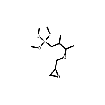 CO[Si](CC(C)C(C)OCC1CO1)(OC)OC